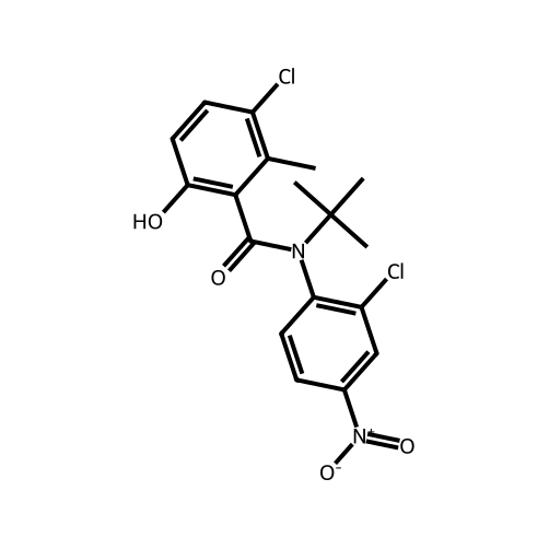 Cc1c(Cl)ccc(O)c1C(=O)N(c1ccc([N+](=O)[O-])cc1Cl)C(C)(C)C